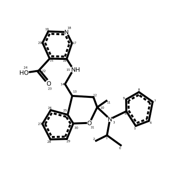 CC(C)N(c1ccccc1)C1(C)CC(CNc2cnccc2C(=O)O)c2ccccc2O1